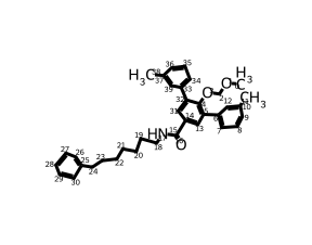 COCOc1c(-c2cccc(C)c2)cc(C(=O)NCCCCCCCc2ccccc2)cc1-c1cccc(C)c1